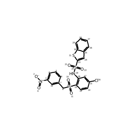 O=[N+]([O-])c1cccc(CS(=O)(=O)c2ccc(Cl)cc2NS(=O)(=O)c2cc3ccccc3s2)c1